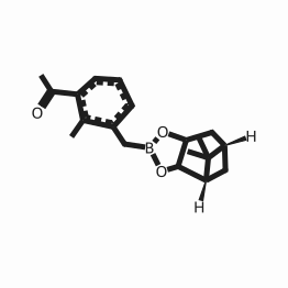 CC(=O)c1cccc(CB2OC3C[C@@H]4C[C@H](C3O2)C4(C)C)c1C